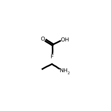 CCN.O=C(O)F